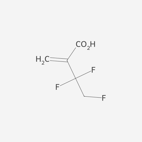 C=C(C(=O)O)C(F)(F)CF